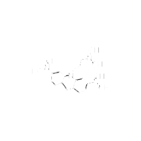 CN(C)CCC[n+]1c2cc(N(C)C)ccc2cc2ccc(N(C)C)cc21